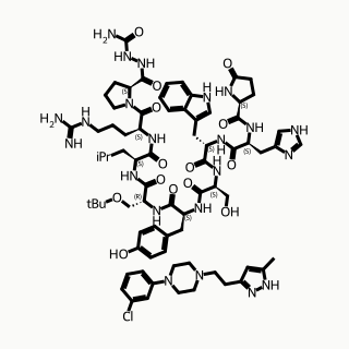 CC(C)C[C@H](NC(=O)[C@@H](COC(C)(C)C)NC(=O)[C@H](Cc1ccc(O)cc1)NC(=O)[C@H](CO)NC(=O)[C@H](Cc1c[nH]c2ccccc12)NC(=O)[C@H](Cc1c[nH]cn1)NC(=O)[C@@H]1CCC(=O)N1)C(=O)N[C@@H](CCCNC(=N)N)C(=O)N1CCC[C@H]1C(=O)NNC(N)=O.Cc1cc(CCN2CCN(c3cccc(Cl)c3)CC2)n[nH]1